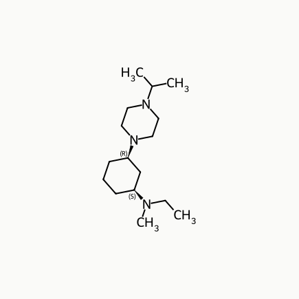 CCN(C)[C@H]1CCC[C@@H](N2CCN(C(C)C)CC2)C1